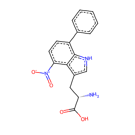 N[C@@H](Cc1c[nH]c2c(-c3ccccc3)ccc([N+](=O)[O-])c12)C(=O)O